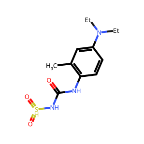 CCN(CC)c1ccc(NC(=O)N[SH](=O)=O)c(C)c1